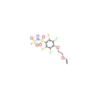 C=COCCOc1c(F)c(F)c(S(=O)(=O)NS(C)(=O)=O)c(F)c1F